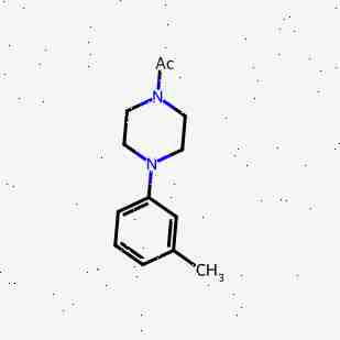 CC(=O)N1CCN(c2cccc(C)c2)CC1